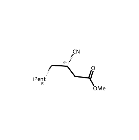 CCC[C@@H](C)C[C@H](C#N)CC(=O)OC